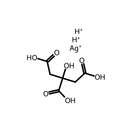 O=C(O)CC(O)(CC(=O)O)C(=O)O.[Ag+].[H+].[H+]